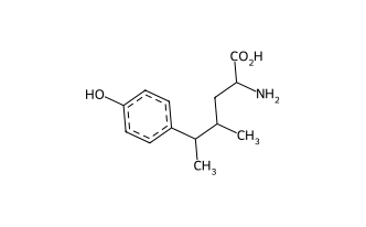 CC(CC(N)C(=O)O)C(C)c1ccc(O)cc1